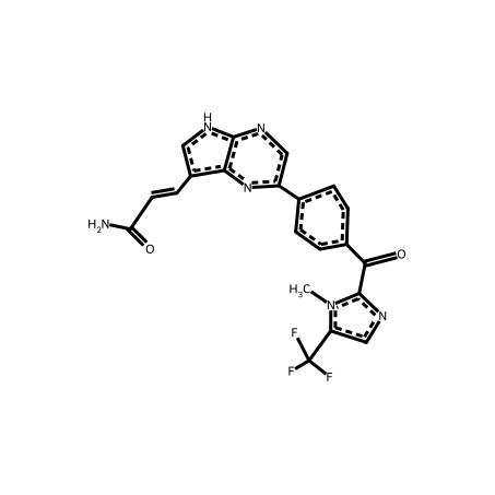 Cn1c(C(F)(F)F)cnc1C(=O)c1ccc(-c2cnc3[nH]cc(/C=C/C(N)=O)c3n2)cc1